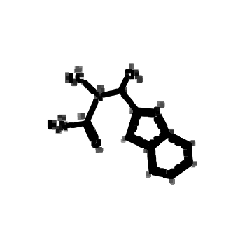 CC(c1cc2ccccc2s1)N(C)C(N)=O